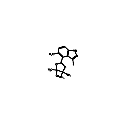 Cc1ccc2[nH]nc(F)c2c1B1OC(C)(C)C(C)(C)O1